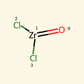 [O]=[Zr]([Cl])[Cl]